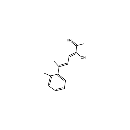 CC(=N)/C(O)=C/C=C(\C)c1ccccc1C